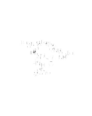 COC(=O)[C@@H]1Cc2ccc(OCCNC(=O)OC(C)(C)C)c(c2)-c2cc(ccc2OCCNC(=O)OC(C)(C)C)[C@H](N(C)C(=O)[C@H](CCO[Si](C)(C)C(C)(C)C)NS(=O)(=O)CCN(C)C(=O)OC(C)(C)C)C(=O)N[C@@H](C)C(=O)N1